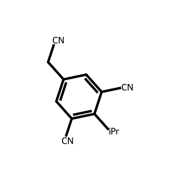 CC(C)c1c(C#N)cc(CC#N)cc1C#N